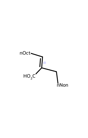 CCCCCCCC/C=C(/CCCCCCCCCC)C(=O)O